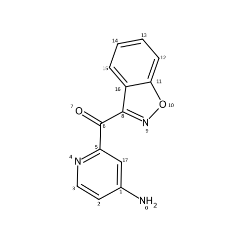 Nc1ccnc(C(=O)c2noc3ccccc23)c1